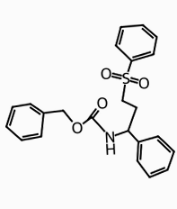 O=C(NC(CCS(=O)(=O)c1ccccc1)c1ccccc1)OCc1ccccc1